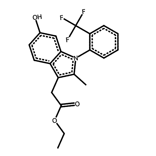 CCOC(=O)Cc1c(C)n(-c2ccccc2C(F)(F)F)c2cc(O)ccc12